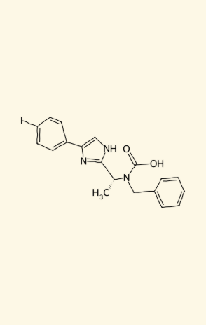 C[C@H](c1nc(-c2ccc(I)cc2)c[nH]1)N(Cc1ccccc1)C(=O)O